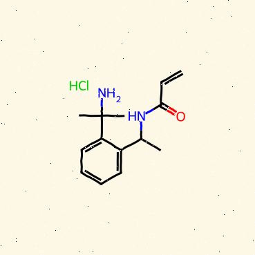 C=CC(=O)NC(C)c1ccccc1C(C)(C)N.Cl